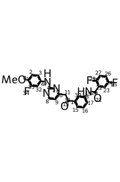 COc1ccc(Nc2nccc(CC(=O)c3cccc(NC(=O)c4cc(F)ccc4F)c3)n2)cc1F